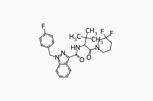 CC(C)(C)C(NC(=O)c1nn(Cc2ccc(F)cc2)c2ccccc12)C(=O)N1CCCC(F)(F)C1